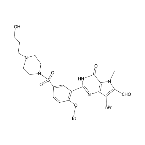 CCCc1c(C=O)n(C)c2c(=O)[nH]c(-c3cc(S(=O)(=O)N4CCN(CCCO)CC4)ccc3OCC)nc12